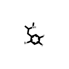 CNC(C)Cc1cc(F)c(F)cc1Br